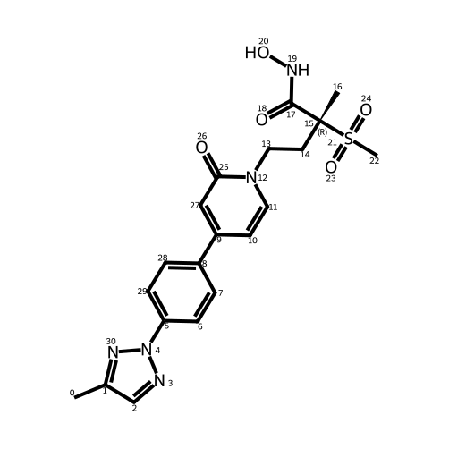 Cc1cnn(-c2ccc(-c3ccn(CC[C@](C)(C(=O)NO)S(C)(=O)=O)c(=O)c3)cc2)n1